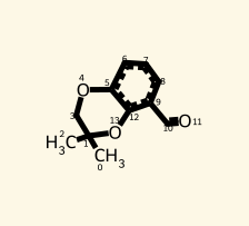 CC1(C)COc2cccc(C=O)c2O1